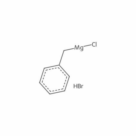 Br.[Cl][Mg][CH2]c1ccccc1